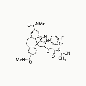 CNC(=O)c1ccc2c(c1)CCc1cc(C(=O)NC)ccc1C2(C[C@@H](Cc1ccc(F)cc1)NCC(=O)N(C(C)C#N)C1CC1)c1nnn[nH]1